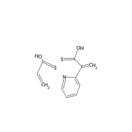 C=C(C(O)=S)c1ccccn1.C=CC(O)=S